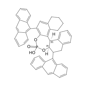 O=P1(O)Oc2c(-c3c4ccccc4cc4ccccc34)cc3c(c2[C@H]2c4ccccc4CC(c4c5ccccc5cc5ccccc45)[C@H]2O1)CCCC3